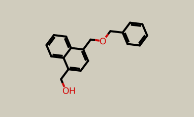 OCc1ccc(COCc2ccccc2)c2ccccc12